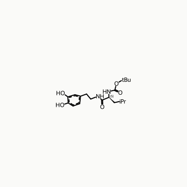 CC(C)C[C@H](NC(=O)OC(C)(C)C)C(=O)NCCc1ccc(O)c(O)c1